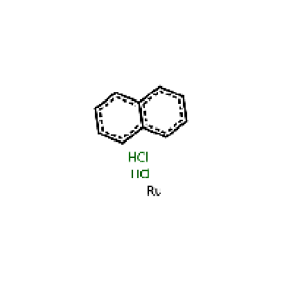 Cl.Cl.[Ru].c1ccc2ccccc2c1